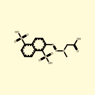 CN(CC(=O)O)N=Nc1ccc2c(S(=O)(=O)O)cccc2c1S(=O)(=O)O